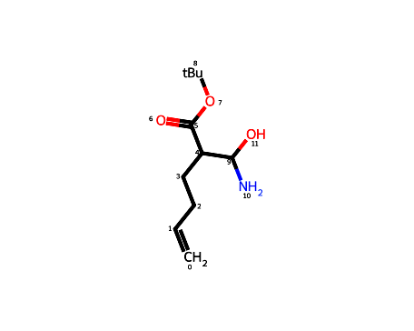 C=CCCC(C(=O)OC(C)(C)C)C(N)O